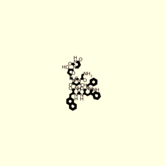 C[C@@H]([C@H](NC(=O)C(Cc1ccc2ccccc2c1)NC(=O)NC(Cc1c[nH]c2ccccc12)C(=O)NCc1ccccc1)C(=O)NC[C@H]1C[C@@H](O)[C@H](n2ccc(=O)[nH]c2=O)O1)N(C)C(=O)CN